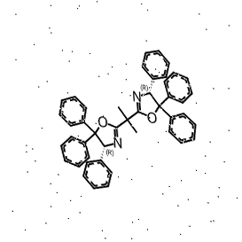 CC(C)(C1=N[C@H](c2ccccc2)C(c2ccccc2)(c2ccccc2)O1)C1=N[C@H](c2ccccc2)C(c2ccccc2)(c2ccccc2)O1